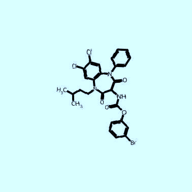 CC(C)CCN1C(=O)C(NC(=O)Oc2cccc(Br)c2)C(=O)N(c2ccccc2)c2cc(Cl)c(Cl)cc21